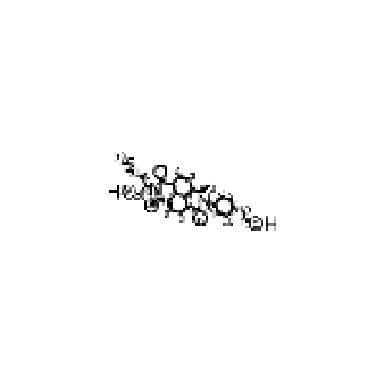 C=c1c2ccc3c4c(ccc(c(=O)n1-c1ccc(CCO)cc1)c42)C(=O)N(C(CO)CCSC)C3=O